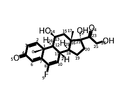 C[C@]12C=CC(=O)C=C1C(F)=C[C@@H]1[C@@H]2[C@@H](O)C[C@@]2(C)[C@H]1CC[C@]2(O)C(=O)CO